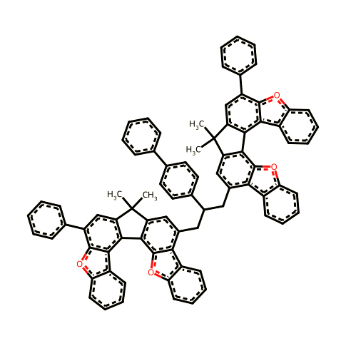 CC1(C)c2cc(CC(Cc3cc4c(c5oc6ccccc6c35)-c3c(cc(-c5ccccc5)c5oc6ccccc6c35)C4(C)C)c3ccc(-c4ccccc4)cc3)c3c(oc4ccccc43)c2-c2c1cc(-c1ccccc1)c1oc3ccccc3c21